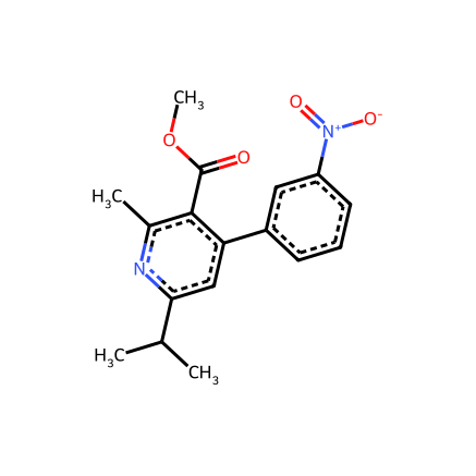 COC(=O)c1c(-c2cccc([N+](=O)[O-])c2)cc(C(C)C)nc1C